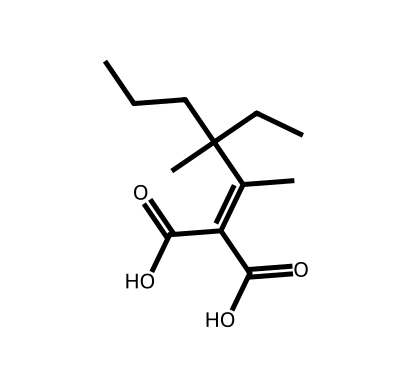 CCCC(C)(CC)C(C)=C(C(=O)O)C(=O)O